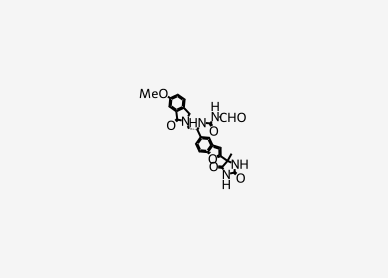 COc1ccc2c(c1)C(=O)N(C[C@H](NC(=O)NC=O)c1ccc3oc(C4(C)NC(=O)NC4=O)cc3c1)C2